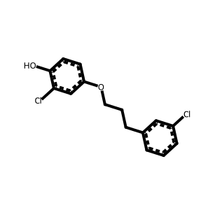 Oc1ccc(OCCCc2cccc(Cl)c2)cc1Cl